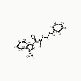 Cn1nc(C(=O)N(I)CCCCc2ccccc2)c2ccccc21